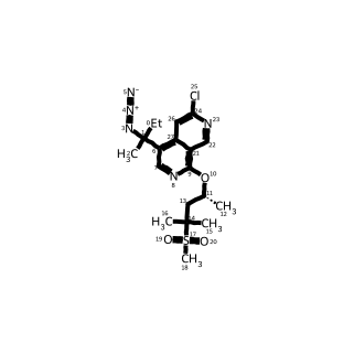 CCC(C)(N=[N+]=[N-])c1cnc(O[C@H](C)CC(C)(C)S(C)(=O)=O)c2cnc(Cl)cc12